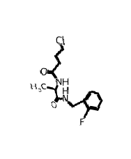 CC(NC(=O)CCCCl)C(=O)NCc1ccccc1F